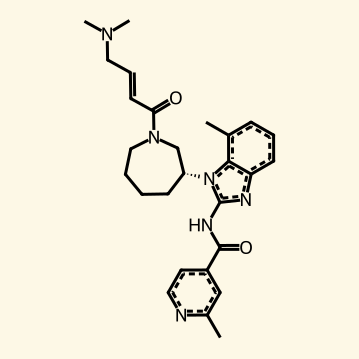 Cc1cc(C(=O)Nc2nc3cccc(C)c3n2[C@@H]2CCCCN(C(=O)C=CCN(C)C)C2)ccn1